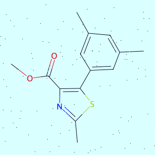 COC(=O)c1nc(C)sc1-c1cc(C)cc(C)c1